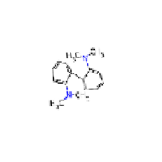 CN(C)c1ccccc1-c1ccccc1N(C)C